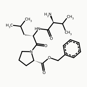 CC(C)C[C@H](NC(=O)[C@@H](N)C(C)C)C(=O)N1CCC[C@H]1C(=O)OCc1ccccc1